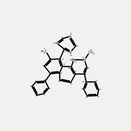 Cc1cc(-c2ccccc2)c2ccc3c(c2c1-c1ncncn1)NN(C)C=C3c1ccccc1